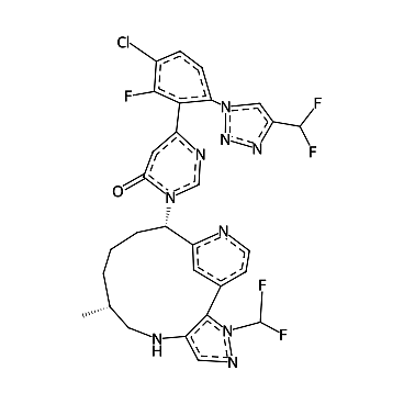 C[C@@H]1CCC[C@H](n2cnc(-c3c(-n4cc(C(F)F)nn4)ccc(Cl)c3F)cc2=O)c2cc(ccn2)-c2c(cnn2C(F)F)NC1